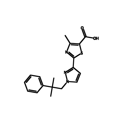 Cc1nc(-c2ccn(CC(C)(C)c3ccccc3)n2)sc1C(=O)O